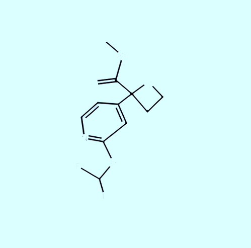 COC(=O)C1(c2ccnc(OC(F)F)c2)CCO1